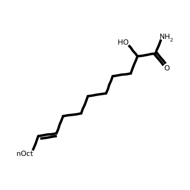 CCCCCCCCC=CCCCCCCC(O)C(N)=O